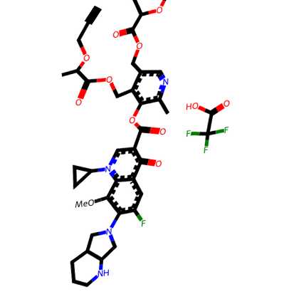 C#CCOC(C)C(=O)OCc1cnc(C)c(OC(=O)c2cn(C3CC3)c3c(OC)c(N4CC5CCCNC5C4)c(F)cc3c2=O)c1COC(=O)C(C)OCC#C.O=C(O)C(F)(F)F